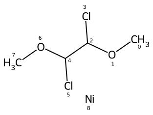 COC(Cl)C(Cl)OC.[Ni]